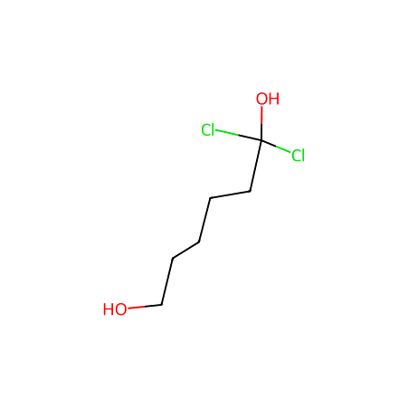 OCCCCCC(O)(Cl)Cl